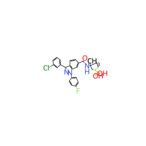 CC1(NC(=O)c2ccc3c(-c4cccc(Cl)c4)nn(-c4ccc(F)cc4)c3c2)CCS(O)(O)C1